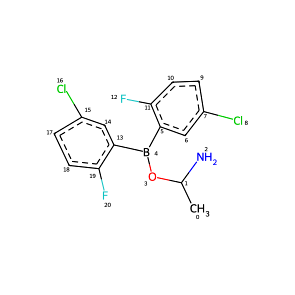 CC(N)OB(c1cc(Cl)ccc1F)c1cc(Cl)ccc1F